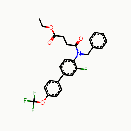 CCOC(=O)CCC(=O)N(Cc1ccccc1)c1ccc(-c2ccc(OC(F)(F)F)cc2)cc1F